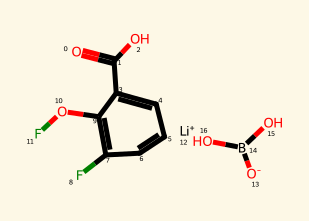 O=C(O)c1cccc(F)c1OF.[Li+].[O-]B(O)O